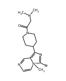 CN(C)CC(=O)N1CCC(C2=C3C=NC=C[N+]3(C)C(Br)=N2)CC1